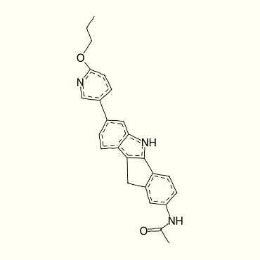 CCCOc1ccc(-c2ccc3c4c([nH]c3c2)-c2ccc(NC(C)=O)cc2C4)cn1